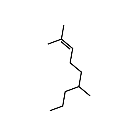 CC(C)=CCCC(C)CCI